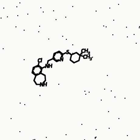 CC1(C)CCCC(Sc2ccc(CNc3c(Cl)ccc4c3CCNCC4)cn2)C1